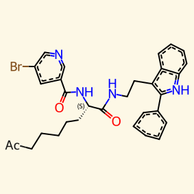 CC(=O)CCCCC[C@H](NC(=O)c1cncc(Br)c1)C(=O)NCCc1c(-c2ccccc2)[nH]c2ccccc12